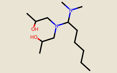 CCCCCC(N(C)C)N(CC(C)O)CC(C)O